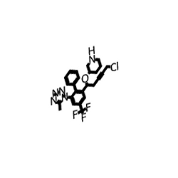 Cc1nnnn1-c1cc(C(F)(F)F)cc(C(CC#CCCl)OC2CCCNC2)c1-c1ccccc1